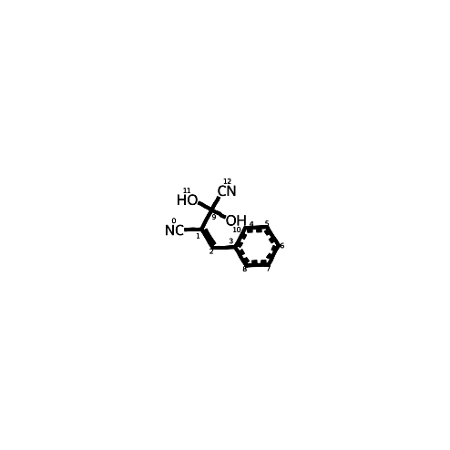 N#CC(=Cc1ccccc1)C(O)(O)C#N